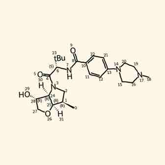 C[C@@H]1CN(C(=O)[C@@H](NC(=O)c2ccc(N3CCN(C)CC3)cc2)C(C)(C)C)[C@H]2[C@@H]1OC[C@@H]2O